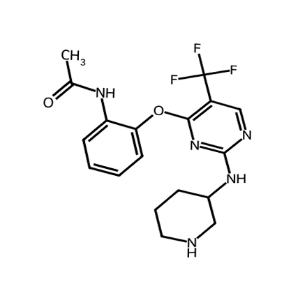 CC(=O)Nc1ccccc1Oc1nc(NC2CCCNC2)ncc1C(F)(F)F